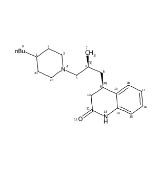 CCCCC1CCN(C[C@@H](C)C[C@@H]2CC(=O)Nc3ccccc32)CC1